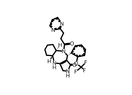 O=C1NCC2=C1[C@@H](c1ccccc1OC(F)(F)F)N(C(=O)CCc1ncccn1)[C@@H]1CCCC[C@H]1N2